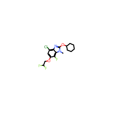 Cn1c(OC2CCCCC2)nc2c(Cl)cc(OCC(F)F)c(F)c21